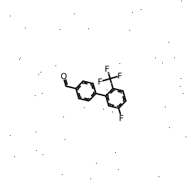 O=Cc1ccc(-c2cc(F)ccc2C(F)(F)F)cc1